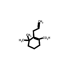 C=CCC1=C(C(=O)O)CCCC1(C)C